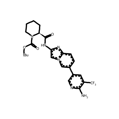 CC(C)(C)OC(=O)N1CCCC[C@H]1C(=O)Nc1cn2cc(-c3cnc(N)c(C(F)(F)F)c3)ccc2n1